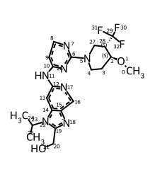 CO[C@H]1CCN(c2nccc(Nc3cc4c(cn3)nc(CO)n4C(C)C)n2)C[C@@H]1C(F)(F)F